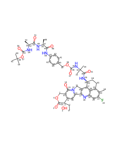 CC[C@@]1(O)C(=O)OCc2c1cc1n(c2=O)Cc2c-1nc1cc(F)c(C)c3c1c2[C@@H](NC(=O)C(C)(C)NC(=O)OCc1ccc(NC(=O)[C@H](C)NC(=O)[C@H](C)NC(=O)OC(C)(C)C)cc1)CC3